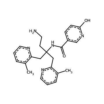 Cc1cccnc1CC(CCN)(Cc1ncccc1C)NC(=O)c1ccc(O)nc1